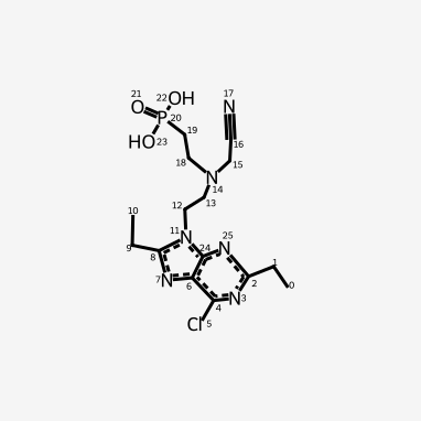 CCc1nc(Cl)c2nc(CC)n(CCN(CC#N)CCP(=O)(O)O)c2n1